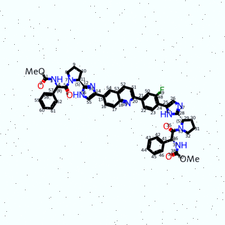 COC(=O)N[C@@H](C(=O)N1CCC[C@H]1c1nc(-c2ccc3nc(-c4ccc(-c5cnc([C@@H]6CCCN6C(=O)[C@H](NC(=O)OC)c6ccccc6)[nH]5)c(F)c4)ccc3c2)c[nH]1)c1ccccc1